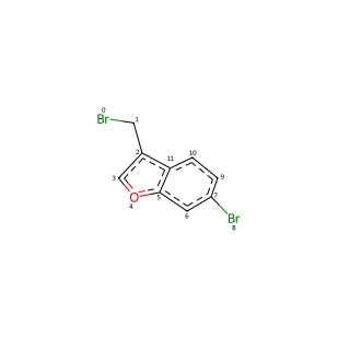 BrCc1coc2cc(Br)ccc12